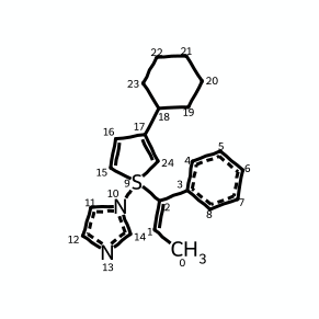 CC=C(c1ccccc1)S1(n2ccnc2)C=CC(C2CCCCC2)=C1